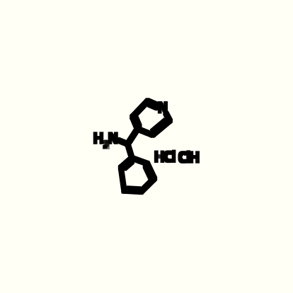 Cl.Cl.NC(c1ccccc1)c1ccncc1